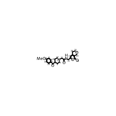 COc1ccc(C(=O)C2CCN(CC(=O)NCc3cc4c(c(=O)o3)COCC4)CC2)cc1